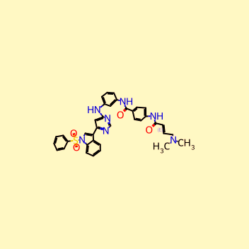 CN(C)C/C=C/C(=O)Nc1ccc(C(=O)Nc2cccc(Nc3cc(-c4cn(S(=O)(=O)c5ccccc5)c5ccccc45)ncn3)c2)cc1